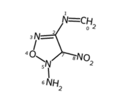 C=NC1=NON(N)C1[N+](=O)[O-]